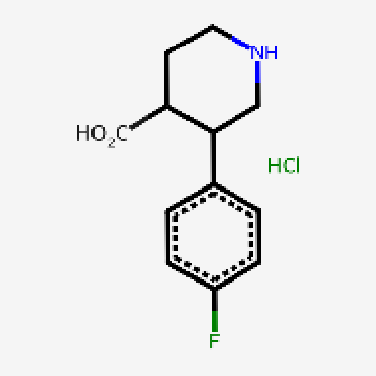 Cl.O=C(O)C1CCNCC1c1ccc(F)cc1